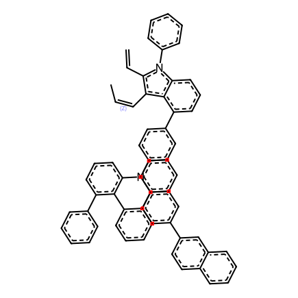 C=Cc1c(/C=C\C)c2c(-c3ccc(N(c4ccc(-c5ccc6ccccc6c5)cc4)c4cccc(-c5ccccc5)c4-c4ccccc4-c4ccccc4)cc3)cccc2n1-c1ccccc1